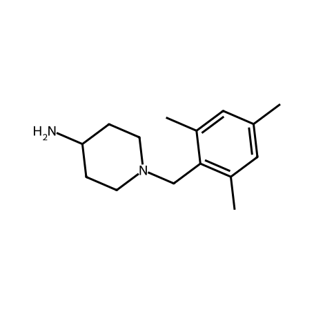 Cc1cc(C)c(CN2CCC(N)CC2)c(C)c1